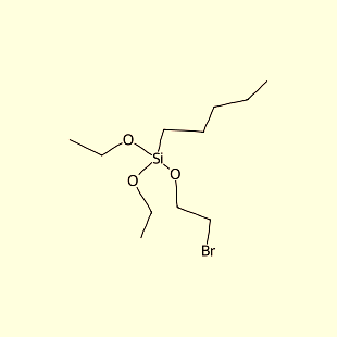 CCCCC[Si](OCC)(OCC)OCCBr